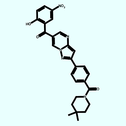 CC1(C)CCN(C(=O)c2ccc(-c3cc4ncc(C(=O)c5cc([N+](=O)[O-])ccc5O)cn4n3)cc2)CC1